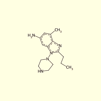 CCCc1nc2c(C)cc(N)cc2n1N1CCNCC1